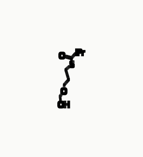 CC(C)C(=O)SCCCOCO